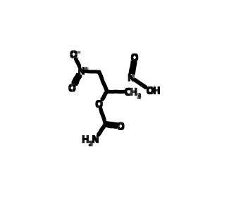 CC(C[N+](=O)[O-])OC(N)=O.O=NO